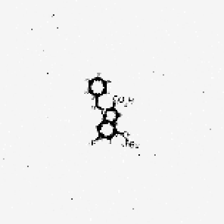 CCCCOc1cc(F)cc2c1cc(C(=O)O)n2Cc1ccccc1